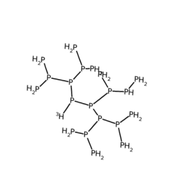 [3H]P(P(P(P)P)P(P)P)P(P(P)PP)P(P(P)P)P(P)P